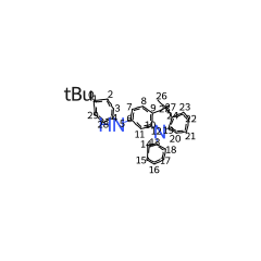 CC(C)(C)c1ccc(Nc2ccc3c(c2)N(c2ccccc2)c2ccccc2C3(C)C)cc1